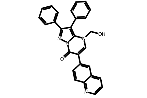 O=c1c(-c2ccc3ncccc3c2)cn(CO)c2c(-c3ccccc3)c(-c3ccccc3)nn12